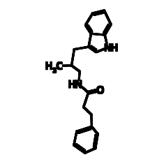 CC(CNC(=O)CCc1ccccc1)Cc1c[nH]c2ccccc12